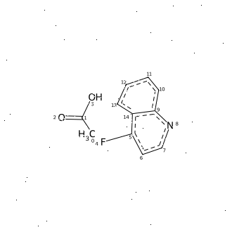 CC(=O)O.Fc1ccnc2ccccc12